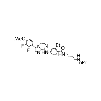 CCCNCCCCNC(=O)c1ccc(Nc2nccn3c(-c4ccc(OC)c(F)c4F)cnc23)cc1CC